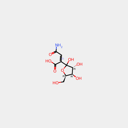 NC(=O)/C=C(\C(=O)O)C1(O)O[C@H](CO)[C@H](O)[C@H]1O